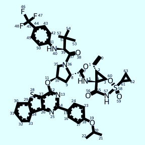 C=C[C@@H]1C[C@]1(NC(=O)[C@@H]1C[C@@H](Oc2nc(-c3ccc(OC(C)C)cc3)nc3c2sc2ccccc23)CN1C(=O)[C@@H](Nc1ccc(C(F)(F)F)cc1)C(C)(C)C)C(=O)NS(=O)(=O)C1CC1